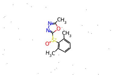 Cc1nnc([S+]([O-])c2c(C)cccc2C)o1